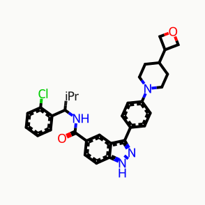 CC(C)C(NC(=O)c1ccc2[nH]nc(-c3ccc(N4CCC(C5COC5)CC4)cc3)c2c1)c1ccccc1Cl